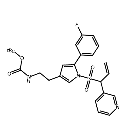 C=CC(c1cccnc1)S(=O)(=O)n1cc(CCNC(=O)OC(C)(C)C)cc1-c1cccc(F)c1